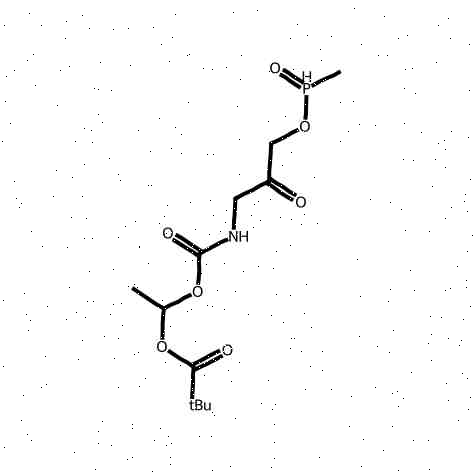 CC(OC(=O)NCC(=O)CO[PH](C)=O)OC(=O)C(C)(C)C